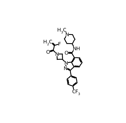 C=C(F)C(=O)N1CC(n2nc(-c3ccc(C(F)(F)F)cc3)c3cccc(C(=O)NC4CCN(C)CC4)c32)C1